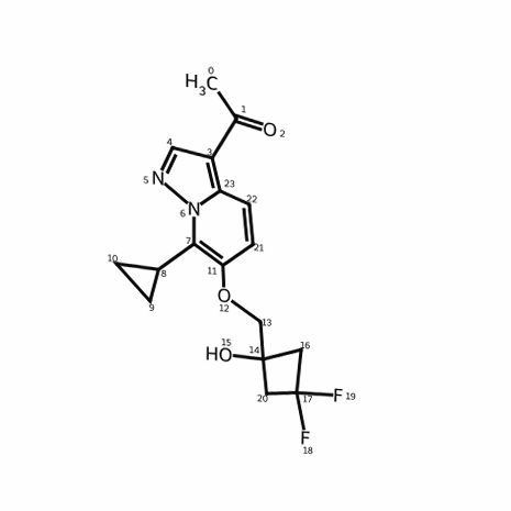 CC(=O)c1cnn2c(C3CC3)c(OCC3(O)CC(F)(F)C3)ccc12